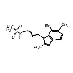 Cc1ccc2cc(C)n(CCCNS(C)(=O)=O)c2c1Br